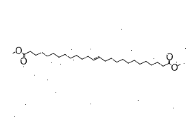 COC(=O)CCCCCCCCCCCC=CCCCCCCCCCCCC(=O)OC